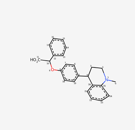 CN1CCC(c2ccc(OC(C(=O)O)c3ccccc3)cc2)c2ccccc21